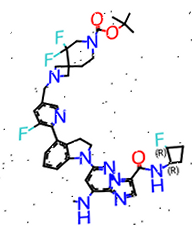 CNc1cc(N2CCc3c(-c4ncc(CN5CC6(CCN(C(=O)OC(C)(C)C)CC6(F)F)C5)cc4F)cccc32)nn2c(C(=O)N[C@@H]3CC[C@H]3F)cnc12